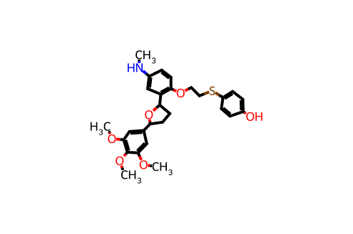 CNc1ccc(OCCSc2ccc(O)cc2)c(C2CCC(c3cc(OC)c(OC)c(OC)c3)O2)c1